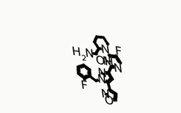 NC(O)C1CCCCN1c1nc(-c2cc(-c3ccon3)n(Cc3ccccc3F)n2)ncc1F